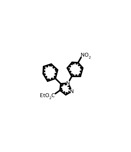 CCOC(=O)c1cnn(-c2ccc([N+](=O)[O-])cc2)c1-c1ccccc1